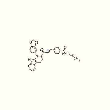 COCCNC(=O)c1ccc(/C=C/C(=O)C2CCc3c([nH]c4ccccc34)N2c2ccc3c(c2)OCO3)cc1